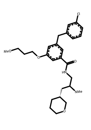 CNC(CNC(=O)c1cc(Cc2cccc(Cl)c2)cc(OCCCOC)c1)C[C@H]1CCCOC1